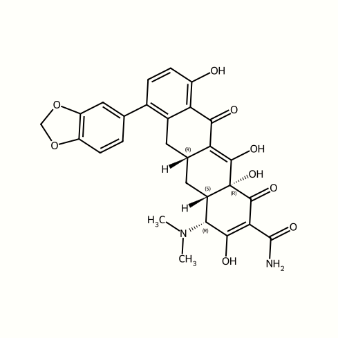 CN(C)[C@H]1C(O)=C(C(N)=O)C(=O)[C@]2(O)C(O)=C3C(=O)c4c(O)ccc(-c5ccc6c(c5)OCO6)c4C[C@H]3C[C@@H]12